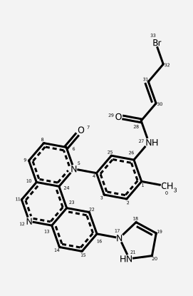 Cc1ccc(-n2c(=O)ccc3cnc4ccc(N5C=CCN5)cc4c32)cc1NC(=O)/C=C/CBr